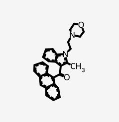 Cc1c(C(=O)c2c3ccccc3cc3ccccc23)c2ccccc2n1CCN1CCOCC1